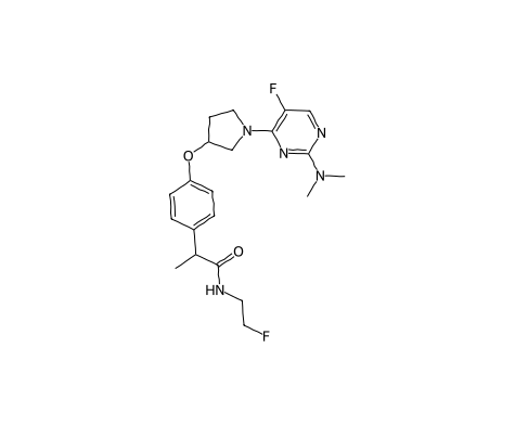 CC(C(=O)NCCF)c1ccc(OC2CCN(c3nc(N(C)C)ncc3F)C2)cc1